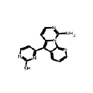 Nc1nccc2c(-c3ccnc(S)n3)c3cccnc3n12